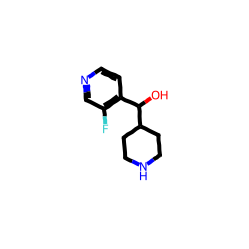 OC(c1ccncc1F)C1CCNCC1